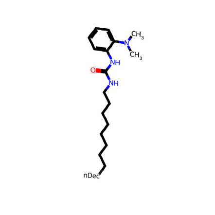 CCCCCCCCCCCCCCCCCCNC(=O)Nc1ccccc1N(C)C